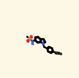 COc1ccc(Cn2ccc3ccc(NS(C)(=O)=O)cc32)cc1